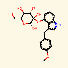 COc1ccc(Cc2c[nH]c3cccc(O[C@]4(O)[C@H](O)O[C@H](CO)[C@@H](O)[C@@H]4O)c23)cc1